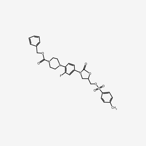 Cc1ccc(S(=O)(=O)OCC2CN(c3ccc(N4CCN(C(=O)OCc5ccccc5)CC4)c(F)c3)C(=O)O2)cc1